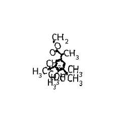 C=COC(=O)C(C)c1cc(C(C)(C)C)c(O)c(C(C)(C)C)c1